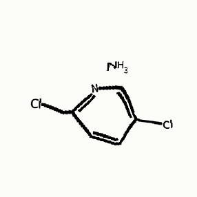 Clc1ccc(Cl)nc1.N